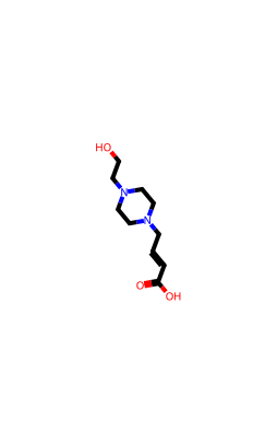 O=C(O)/C=C/CN1CCN(CCO)CC1